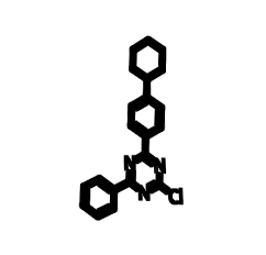 Clc1nc(-c2ccccc2)nc(-c2ccc(C3CCCCC3)cc2)n1